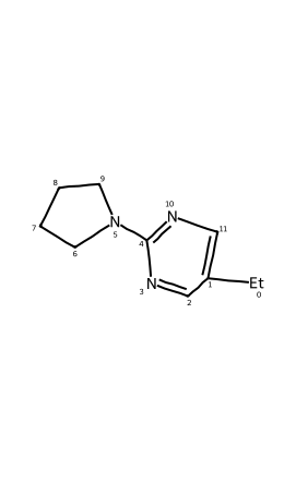 CCc1cnc(N2CCCC2)nc1